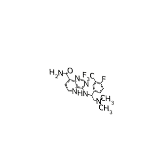 CN(C)CC(Nc1ncnc2c(C(N)=O)ccnc12)c1ccc(F)c(C(F)(F)F)c1